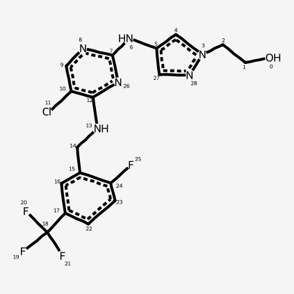 OCCn1cc(Nc2ncc(Cl)c(NCc3cc(C(F)(F)F)ccc3F)n2)cn1